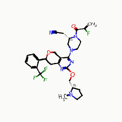 C=C(F)C(=O)N1CCN(c2nc(OC[C@@H]3CCCN3C)nc3c2COC(c2ccccc2C(F)(F)F)C3)C[C@@H]1CC#N